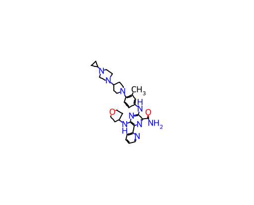 Cc1cc(Nc2nc(NC3CCOCC3)c(-c3ccccn3)nc2C(N)=O)ccc1N1CCC(N2CCN(C3CC3)CC2)CC1